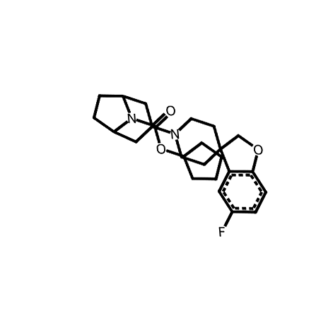 O=C(OC1CCCC1)N1C2CCC1CC(N1CCC3(CC1)COc1ccc(F)cc13)C2